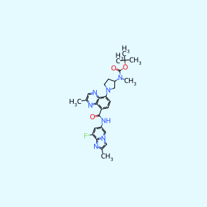 Cc1cnc2c(N3CCC(N(C)C(=O)OC(C)(C)C)C3)ccc(C(=O)Nc3cc(F)c4nc(C)cn4c3)c2n1